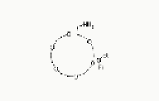 CCOCC.NCC1COCCOCCOCCOCCOCCO1